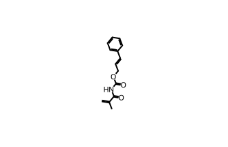 C=C(C)C(=O)NC(=O)OCC=Cc1ccccc1